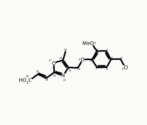 COc1cc(CCl)ccc1OCc1nc(/C=C/C(=O)O)oc1C